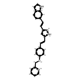 C(=Cc1cc(C=Cc2ccc3cc[nH]c3c2)n[nH]1)c1ccc(OCc2ccccn2)cc1